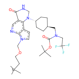 CC(C)(C)OC(=O)N(CC(F)(F)F)C[C@H]1CC[C@H](N2CNC(=O)c3cnc4c(ccn4COCC[Si](C)(C)C)c32)CC1